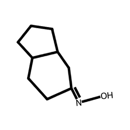 O/N=C1/CCC2CCCC2C1